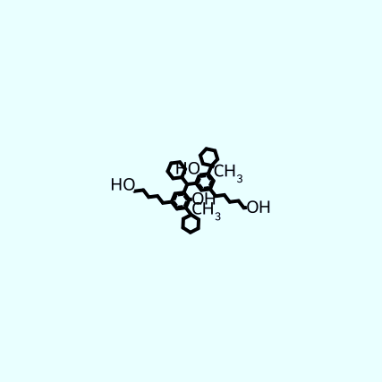 CC1(c2cc(CCCCCO)cc(C(c3cc(CCCCCO)cc(C4(C)CCCCC4)c3O)C3CCCCC3)c2O)CCCCC1